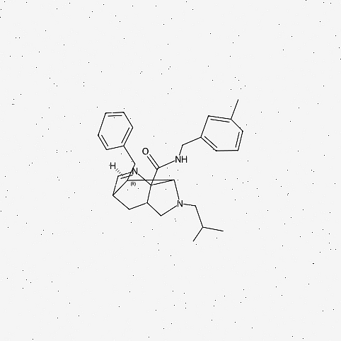 Cc1cccc(CNC(=O)C23N=CC4CC2CN(CC(C)C)C3[C@@H]4Cc2ccccc2)c1